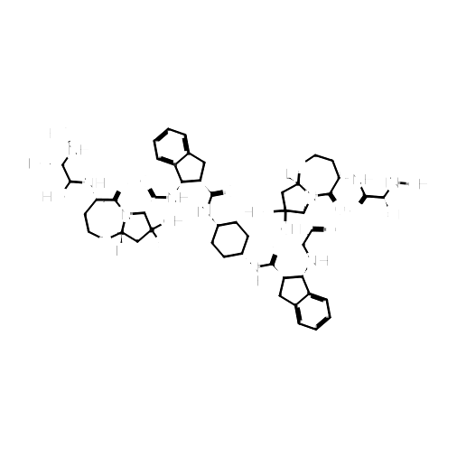 CN[C@@H](C)C(=O)N[C@H]1CCS[C@H]2CC(C)(C)[C@@H](C(=O)CN[C@H]3c4ccccc4C[C@H]3C(=O)N[C@H]3CC[C@H](NC(=O)[C@@H]4Cc5ccccc5[C@@H]4NC(=O)[C@H]4N5C(=O)[C@@H](NC(O)[C@H](C)NC)CCS[C@H]5CC4(C)C)CC3)N2C1=O